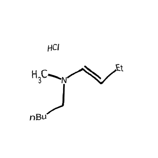 CCC=CN(C)CCCCC.Cl